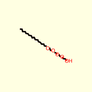 CCCCCCCCC=CCCCCCCCCOCCOCCOCCOCCO